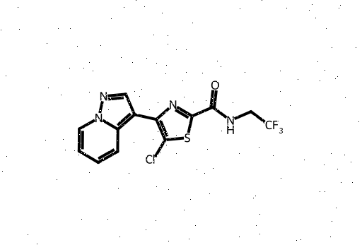 O=C(NCC(F)(F)F)c1nc(-c2cnn3ccccc23)c(Cl)s1